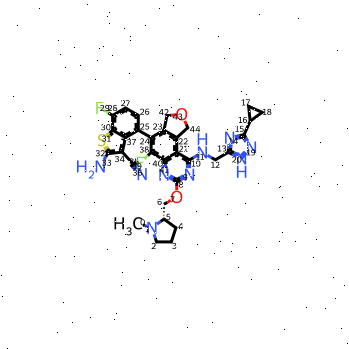 CN1CCC[C@H]1COc1nc(NCc2nc(C3CC3)n[nH]2)c2c3c(c(-c4ccc(F)c5sc(N)c(C#N)c45)c(F)c2n1)COC3